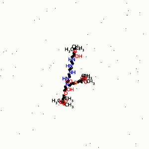 CO[Si](CCCOCC(O)CN(CCNCCNCCNCCNCC(O)COC(C)(C)C)CC(O)COCCC[Si](OC)(OC)OC)(OC)OC